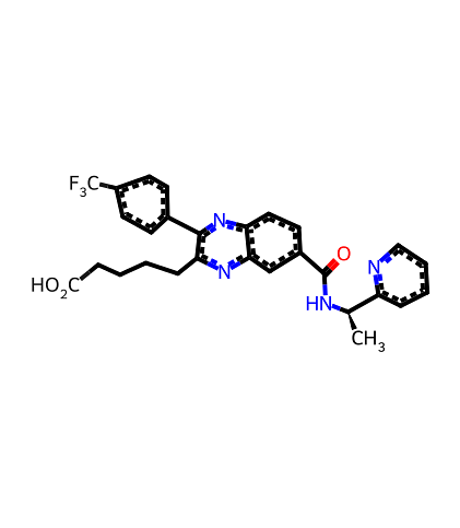 C[C@@H](NC(=O)c1ccc2nc(-c3ccc(C(F)(F)F)cc3)c(CCCCC(=O)O)nc2c1)c1ccccn1